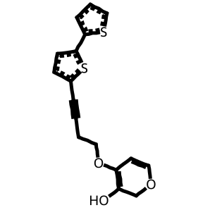 OC1=C(OCCC#Cc2ccc(-c3cccs3)s2)C=COC1